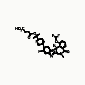 CN1C(=O)c2cccc(OC(F)F)c2[C@H]2CC1c1nc3cc(F)c(-c4ccc(C(C)(C)OC(=O)CCC(=O)O)nc4)cc3n12